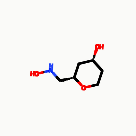 ONC[C@@H]1C[C@H](O)CCO1